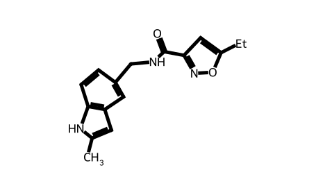 CCc1cc(C(=O)NCc2ccc3[nH]c(C)cc3c2)no1